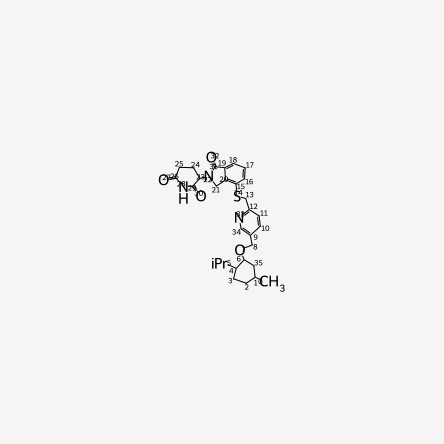 CC1CCC(C(C)C)C(OCc2ccc(CSc3cccc4c3CN(C3CCC(=O)NC3=O)C4=O)nc2)C1